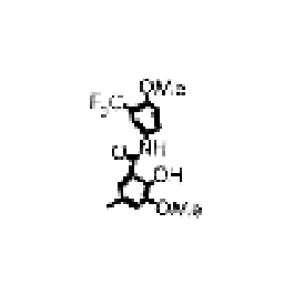 COc1ccc(NC(=O)c2cc(C)cc(OC)c2O)cc1C(F)(F)F